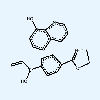 C=CB(O)c1ccc(C2=NCCO2)cc1.Oc1cccc2cccnc12